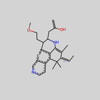 C=C(O)CC1NC2=C(C)/C(=C\C)C(C)(C)c3c2c(cc2cnccc32)C1CCOC